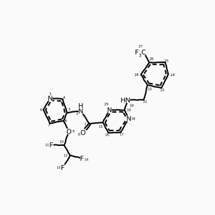 O=C(Nc1cnccc1OC(F)C(F)F)c1ccnc(NCc2cccc(C(F)(F)F)c2)n1